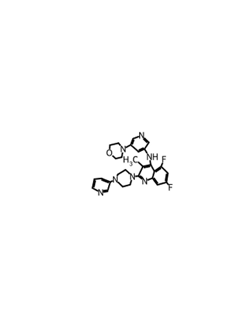 Cc1c(N2CCN(c3cccnc3)CC2)nc2cc(F)cc(F)c2c1Nc1cncc(N2CCOCC2)c1